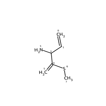 C=CC(N)C(=C)SC